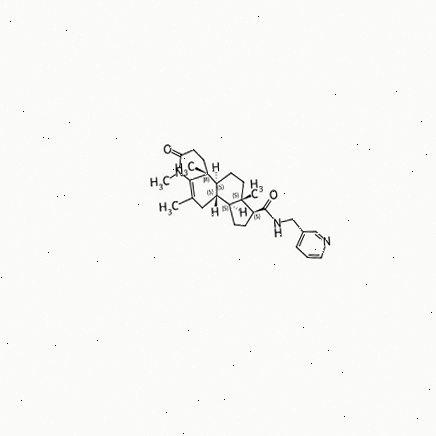 CC1=C2N(C)C(=O)CC[C@]2(C)[C@H]2CC[C@]3(C)[C@@H](C(=O)NCc4cccnc4)CC[C@H]3[C@@H]2C1